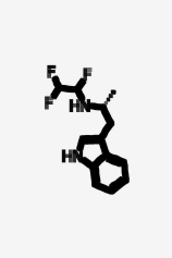 C[C@H](Cc1c[nH]c2ccccc12)NC(F)C(F)F